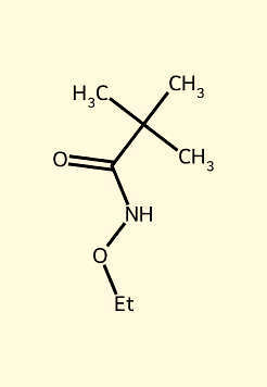 CCONC(=O)C(C)(C)C